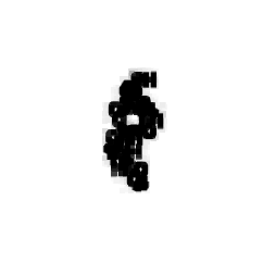 CC(C)[C@@H]1NC(=O)/C=C/[C@@H](NC(=O)[C@@H](NC(=O)CNC(=O)OC(C)(C)C)C(C)C)COC(=O)[C@H](Cc2ccc(O)cc2)NC1=O